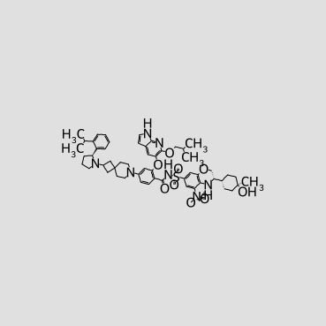 CC(C)COc1nc2[nH]ccc2cc1Oc1cc(N2CCC3(CC2)CC(N2CCC[C@H]2c2ccccc2C(C)C)C3)ccc1C(=O)NS(=O)(=O)c1cc2c(c([N+](=O)[O-])c1)N[C@@H]([C@H]1CC[C@](C)(O)CC1)CO2